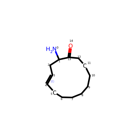 NC1C/C=C/CCCCCCCCC1=O